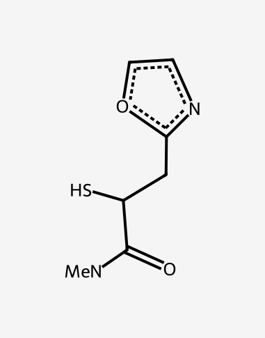 CNC(=O)C(S)Cc1ncco1